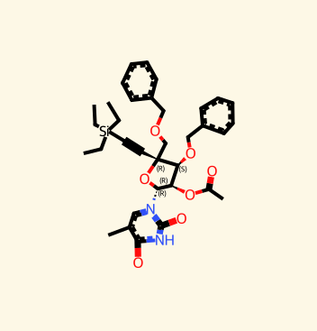 CC[Si](C#C[C@]1(COCc2ccccc2)O[C@@H](n2cc(C)c(=O)[nH]c2=O)[C@H](OC(C)=O)[C@@H]1OCc1ccccc1)(CC)CC